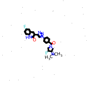 CN(C)[C@H]1CN(C(=O)c2ccc(-n3cc(-c4cc5cc(F)ccc5[nH]c4=O)nn3)cc2)C[C@@H]1F